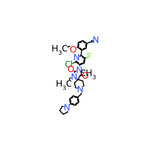 CCOc1ccc(C#N)cc1-c1nc(Cl)c(N(C)C(=O)N(CC)C2(C=O)CCN(Cc3ccc(N4CCCC4)cc3)CC2)cc1F